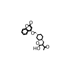 CC(=O)C(C[C@H]1CC[C@H](COc2cc(=O)oc3ccccc23)CC1)C(=O)O